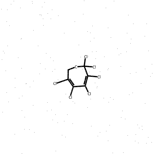 ClC1=C(Cl)C(Cl)=C(Cl)C(Cl)(Cl)CC1